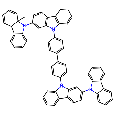 CC12C=CC=CC1c1ccccc1N2c1ccc2c3c(n(-c4ccc(-c5ccc(-n6c7ccccc7c7ccc(-n8c9ccccc9c9ccccc98)cc76)cc5)cc4)c2c1)C=CCC3